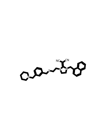 N#CC(C#N)=C1N(CCSCc2cccc(CN3CCCCC3)c2)CCN1Cc1cccc2ccccc12